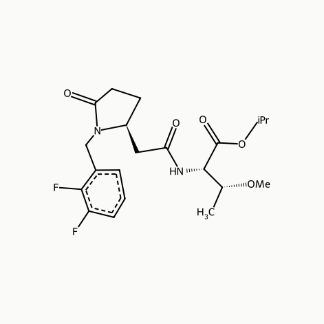 CO[C@H](C)[C@H](NC(=O)C[C@@H]1CCC(=O)N1Cc1cccc(F)c1F)C(=O)OC(C)C